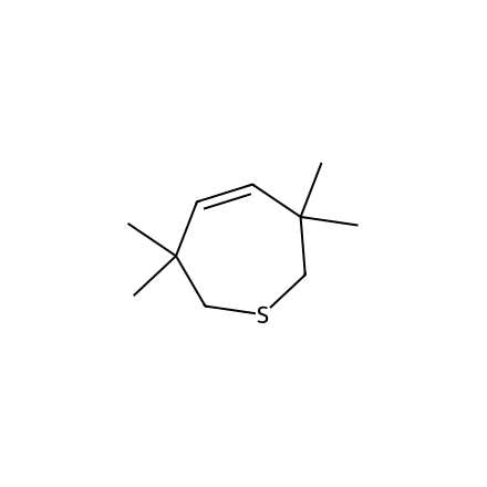 CC1(C)C=CC(C)(C)CSC1